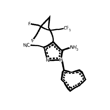 N#Cc1nn(-c2ccccc2)c(N)c1C1(C(F)(F)F)CC1(F)F